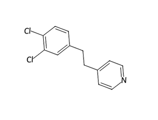 Clc1ccc(CCc2ccncc2)cc1Cl